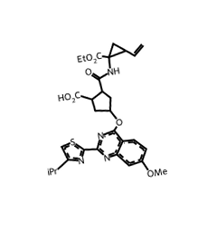 C=CC1CC1(NC(=O)C1CC(Oc2nc(-c3nc(C(C)C)cs3)nc3cc(OC)ccc23)CC1C(=O)O)C(=O)OCC